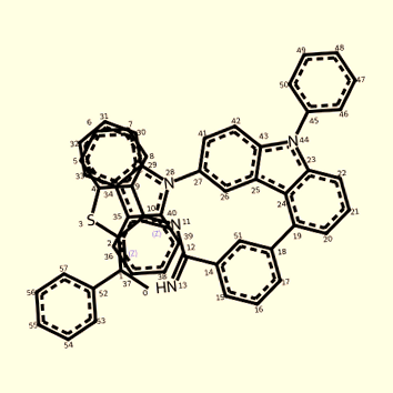 C/C(=C1/Sc2ccccc2/C1=N/C(=N)c1cccc(-c2cccc3c2c2cc(-n4c5ccccc5c5ccccc54)ccc2n3-c2ccccc2)c1)c1ccccc1